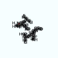 NC(=O)c1ccc(N2CCN(CC3=C(c4ccc(Cl)cc4)CCN(C(CF)CF)C3)CC2)c(S(=O)(=O)c2cnc(OCC3(F)CCOCC3)c(Cl)c2)c1Oc1cc2cc[nH]c2cc1F.O=C(NS(=O)(=O)c1cnc(OCC2(F)CCOCC2)c(Cl)c1)c1ccc(N2CCN(CC3=C(c4ccc(Cl)cc4)CCN(C(=O)O)C3)CC2)cc1Oc1cc2cc[nH]c2cc1F